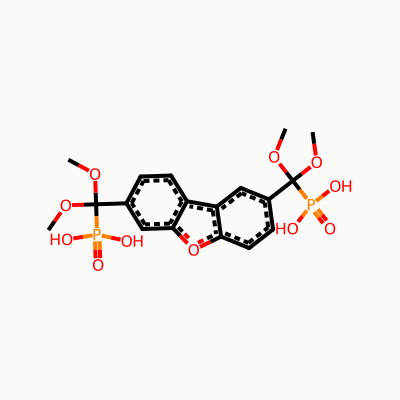 COC(OC)(c1ccc2c(c1)oc1ccc(C(OC)(OC)P(=O)(O)O)cc12)P(=O)(O)O